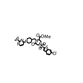 COC(=O)C1CN(S(=O)(=O)c2cc3ccc(Cl)cc3s2)CC(=O)N1CC1CCN(c2ccnc(N(C)C)n2)CC1